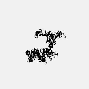 CO[C@H]([C@@H](C)C(=O)N[C@@H](Cc1ccccc1)c1nccs1)[C@@H]1CCCN1C(=O)C[C@H](OC)[C@H](C1CCCC1)N(C)C(=O)[C@@H](NC(=O)C(C)(CCc1ccc(NC(=O)[C@H](CCCNC(N)=O)NC(=O)[C@@H](NC(=O)CCCCCN2C(=O)C=CC2=O)C(C)C)cc1)NC(=O)O)C(C)C